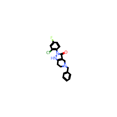 O=c1c2c([nH]n1-c1ccc(F)cc1Cl)CCN(Cc1ccccc1)C2